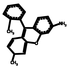 Cc1ccccc1C1=C2C=CC(C)C=C2Oc2cc(N)ccc21